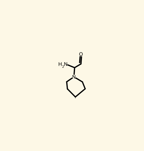 NC(C=O)N1CC[CH]CC1